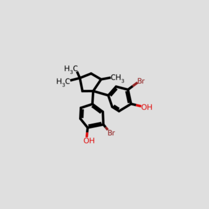 CC1CC(C)(C)CC1(c1ccc(O)c(Br)c1)c1ccc(O)c(Br)c1